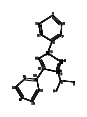 CC(C)[n+]1nn(-c2ccccc2)cc1-c1ccccc1